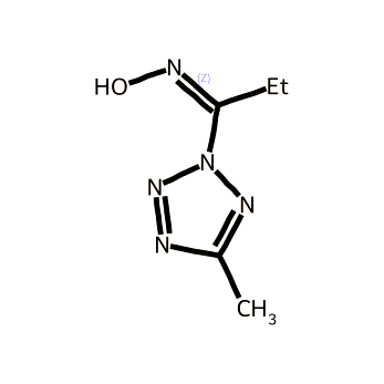 CC/C(=N/O)n1nnc(C)n1